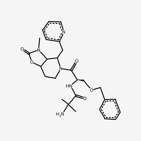 CN1C(=O)OC2CCN(C(=O)[C@@H](COCc3ccccc3)NC(=O)C(C)(C)N)C(Cc3ccccn3)C21